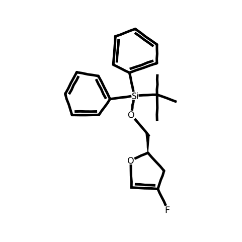 CC(C)(C)[Si](OC[C@H]1CC(F)=CO1)(c1ccccc1)c1ccccc1